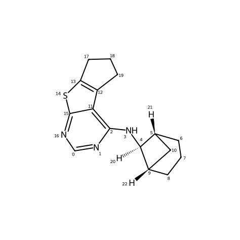 c1nc(N[C@H]2[C@@H]3CCC[C@H]2C3)c2c3c(sc2n1)CCC3